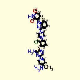 CC1(N)CCN(c2cnc(Sc3cccc(N4CCN(Cc5ccccc5NC5CCC(=O)NC5=O)CC4)c3Cl)c(N)n2)CC1